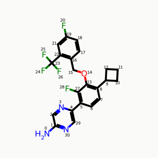 Nc1cnc(-c2ccc(C3CCC3)c(OCc3ccc(F)cc3C(F)(F)F)c2F)cn1